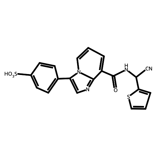 N#CC(NC(=O)c1cccn2c(-c3ccc(S(=O)(=O)O)cc3)cnc12)c1cccs1